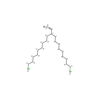 C=CC(CCCCCCCCCBr)CCCCCCCCCBr